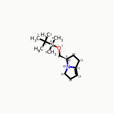 CC(C)(C)[Si](C)(C)OC[C@H]1CCC2=CCCN21